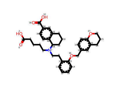 O=C(O)CCCCN(CCc1ccccc1OCc1ccc2c(c1)CCCO2)C1CCCc2cc(C(=O)O)ccc21